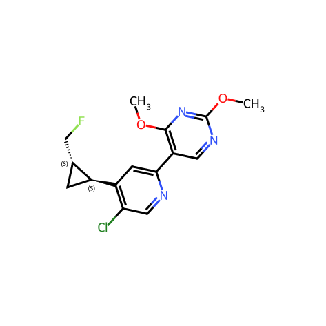 COc1ncc(-c2cc([C@H]3C[C@@H]3CF)c(Cl)cn2)c(OC)n1